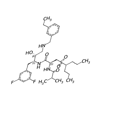 CCCC(CCC)S(=O)(=O)C[C@@H](NC(=O)C(C)C)C(=O)N[C@@H](Cc1cc(F)cc(F)c1)[C@H](O)CNCc1cccc(CC)c1